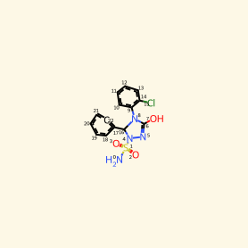 NS(=O)(=O)N1N=C(O)N(c2ccccc2Cl)C1c1ccccc1